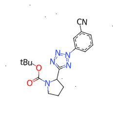 CC(C)(C)OC(=O)N1CCCC1c1nnn(-c2cccc(C#N)c2)n1